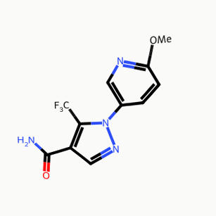 COc1ccc(-n2ncc(C(N)=O)c2C(F)(F)F)cn1